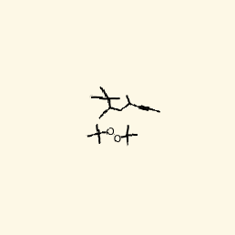 CC#CC(C)CC(C)C(C)(C)C.CC(C)(C)OOC(C)(C)C